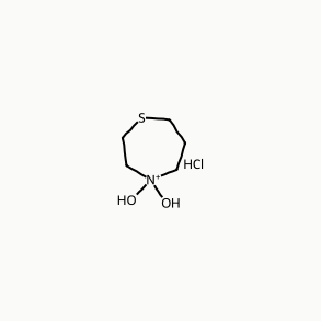 Cl.O[N+]1(O)CCCSCC1